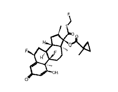 C[C@@H]1C[C@H]2[C@@H]3C[C@H](F)C4=CC(=O)C=C(O)[C@]4(C)[C@@]3(F)CC[C@]2(C)[C@@]1(OC(=O)C1(C)CC1)C(=O)SCF